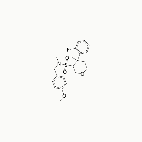 COc1ccc(CN(C)S(=O)(=O)C2COCCC2(C)c2ccccc2F)cc1